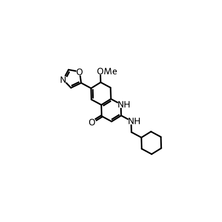 COC1Cc2[nH]c(NCC3CCCCC3)cc(=O)c2C=C1c1cnco1